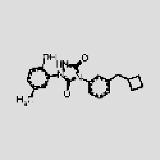 Cc1ccc(O)c(-n2[nH]c(=O)n(-c3cccc(CC4CCC4)c3)c2=O)c1